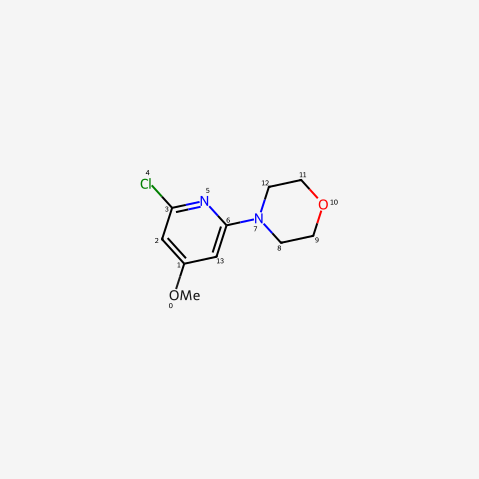 COc1cc(Cl)nc(N2CCOCC2)c1